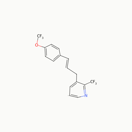 FC(F)(F)Oc1ccc(C=CCc2c[c]cnc2C(F)(F)F)cc1